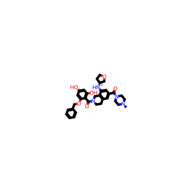 CN1CCN(C(=O)c2cc3c(c(N[C@H]4CCOC4)c2)CN(C(=O)c2c(O)cc(O)cc2OCc2ccccc2)CC3)CC1